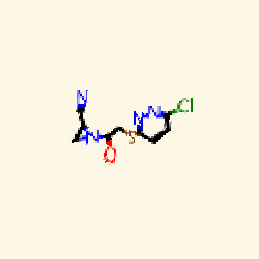 N#CC1CN1C(=O)CSc1ccc(Cl)nn1